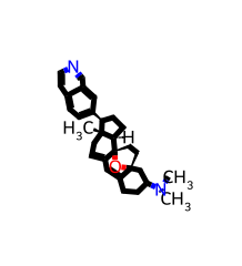 CN(C)C1CCC2=CC3=CC[C@]4(C)[C@@H](c5ccc6ccncc6c5)CC[C@H]4[C@@]34CC[C@]2(C1)O4